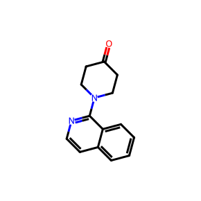 O=C1CCN(c2nccc3ccccc23)CC1